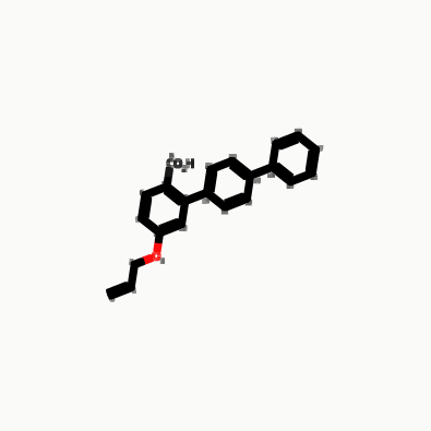 C=CCOc1ccc(C(=O)O)c(-c2ccc(-c3ccccc3)cc2)c1